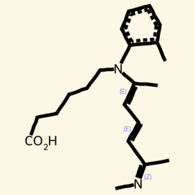 C\N=C(C)/C=C/C=C(\C)N(CCCCCC(=O)O)c1ccccc1C